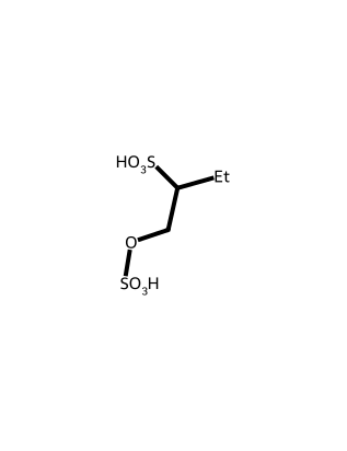 CCC(COS(=O)(=O)O)S(=O)(=O)O